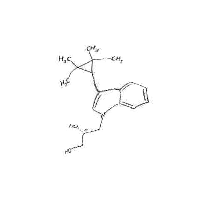 CC1(C)[C](c2cn(C[C@@H](O)CO)c3ccccc23)C1(C)C